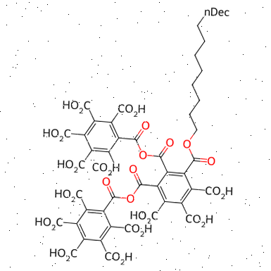 CCCCCCCCCCCCCCCCCCOC(=O)c1c(C(=O)O)c(C(=O)O)c(C(=O)O)c(C(=O)OC(=O)c2c(C(=O)O)c(C(=O)O)c(C(=O)O)c(C(=O)O)c2C(=O)O)c1C(=O)OC(=O)c1c(C(=O)O)c(C(=O)O)c(C(=O)O)c(C(=O)O)c1C(=O)O